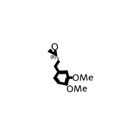 COc1ccc(CC[C@@H]2CO2)cc1OC